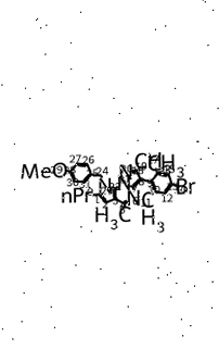 CCCc1cc2c(C)nc3c(-c4c(C)cc(Br)cc4C)c(C)nn3c2n1Cc1ccc(OC)cc1